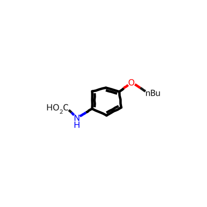 CCCCOc1ccc(NC(=O)O)cc1